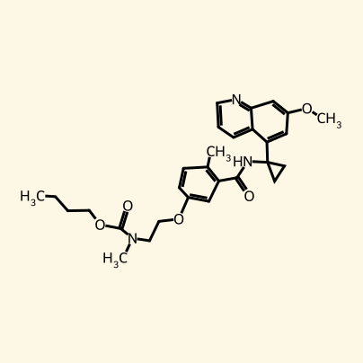 CCCCOC(=O)N(C)CCOc1ccc(C)c(C(=O)NC2(c3cc(OC)cc4ncccc34)CC2)c1